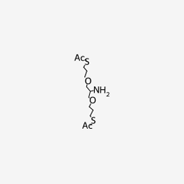 CC(=O)SCCCOCC(N)COCCCSC(C)=O